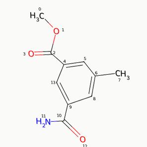 COC(=O)c1cc(C)cc(C(N)=O)c1